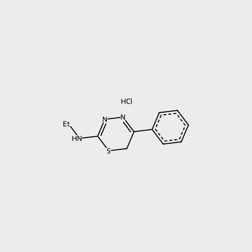 CCNC1=NN=C(c2ccccc2)CS1.Cl